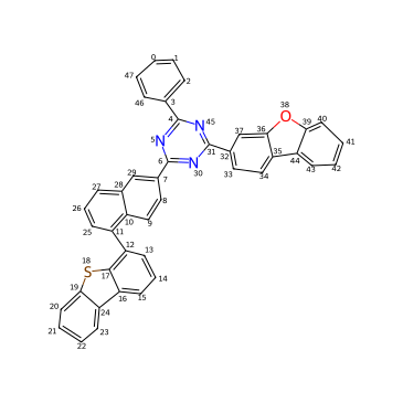 c1ccc(-c2nc(-c3ccc4c(-c5cccc6c5sc5ccccc56)cccc4c3)nc(-c3ccc4c(c3)oc3ccccc34)n2)cc1